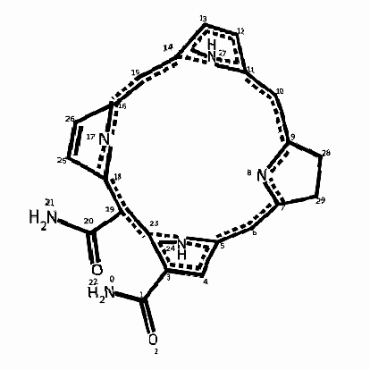 NC(=O)c1cc2cc3nc(cc4ccc(cc5nc(c(C(N)=O)c1[nH]2)C=C5)[nH]4)CC3